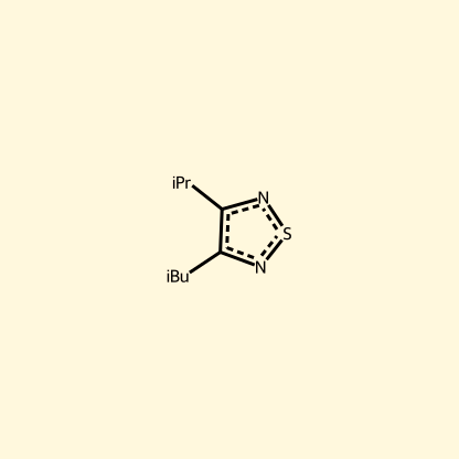 CCC(C)c1nsnc1C(C)C